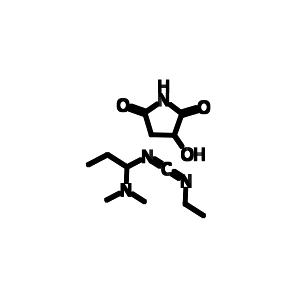 CCN=C=NC(CC)N(C)C.O=C1CC(O)C(=O)N1